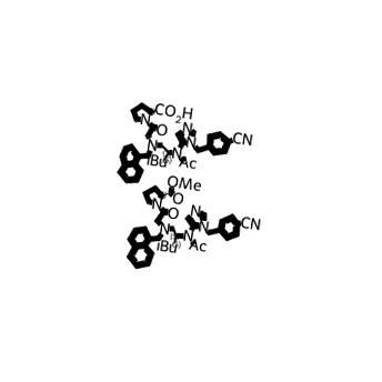 CC[C@H](C)[C@@H](CN(CC(=O)N1CCC[C@@H]1C(=O)O)Cc1cccc2ccccc12)N(C(C)=O)c1cncn1Cc1ccc(C#N)cc1.CC[C@H](C)[C@@H](CN(CC(=O)N1CCC[C@@H]1C(=O)OC)Cc1cccc2ccccc12)N(C(C)=O)c1cncn1Cc1ccc(C#N)cc1